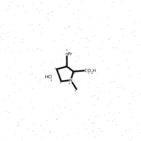 CCCC1CCN(C)C1C(=O)O.Cl